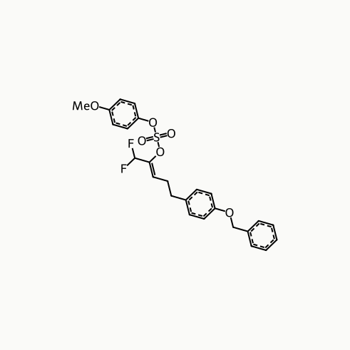 COc1ccc(OS(=O)(=O)O/C(=C\CCc2ccc(OCc3ccccc3)cc2)C(F)F)cc1